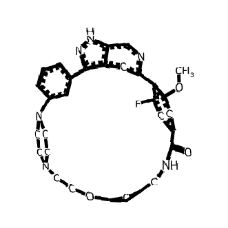 COc1cc2cc(F)c1-c1cc3c(n[nH]c3cn1)-c1cccc(c1)N1CCN(CCOC3CC(CNC2=O)C3)CC1